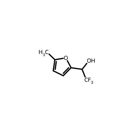 Cc1ccc(C(O)C(F)(F)F)o1